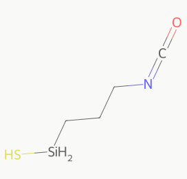 O=C=NCCC[SiH2]S